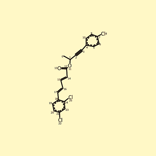 CC(C#Cc1ccc(Cl)cc1)OC(=O)C=CC=Cc1ccc(Cl)cc1Cl